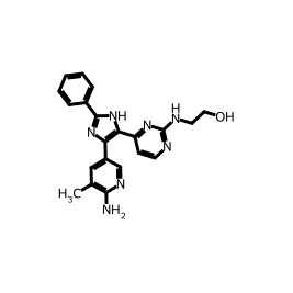 Cc1cc(-c2nc(-c3ccccc3)[nH]c2-c2ccnc(NCCO)n2)cnc1N